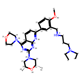 CCN(CC)CCCNCc1cc(-c2ccc3c(N4CCOCC4)nc(N4C[C@@H](C)O[C@@H](C)C4)nc3n2)ccc1OC